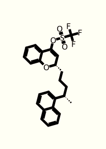 C[C@@H](CCC[C@H]1C=C(OS(=O)(=O)C(F)(F)F)c2ccccc2O1)c1cccc2ccccc12